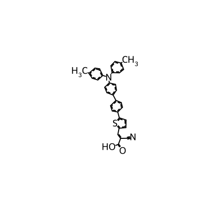 Cc1ccc(N(c2ccc(C)cc2)c2ccc(-c3ccc(-c4ccc(/C=C(\C#N)C(=O)O)s4)cc3)cc2)cc1